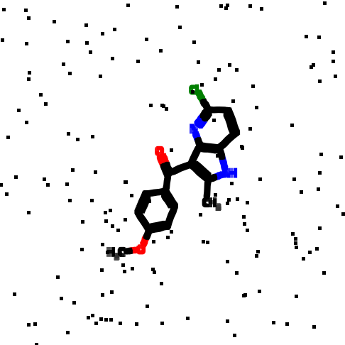 COc1ccc(C(=O)c2c(C)[nH]c3ccc(Cl)nc23)cc1